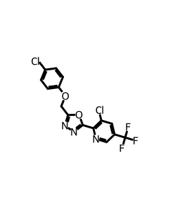 FC(F)(F)c1cnc(-c2nnc(COc3ccc(Cl)cc3)o2)c(Cl)c1